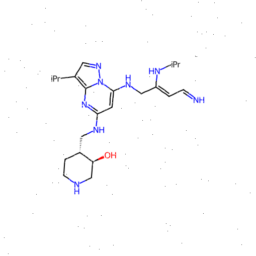 CC(C)N/C(=C\C=N)CNc1cc(NC[C@H]2CCNC[C@@H]2O)nc2c(C(C)C)cnn12